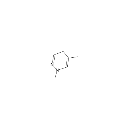 CC1=CN(C)N=CC1